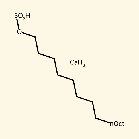 CCCCCCCCCCCCCCCCOS(=O)(=O)O.[CaH2]